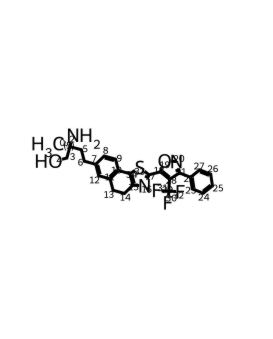 C[C@@](N)(CO)CCc1ccc2c(c1)CCc1nc(-c3onc(-c4ccccc4)c3C(F)(F)F)sc1-2